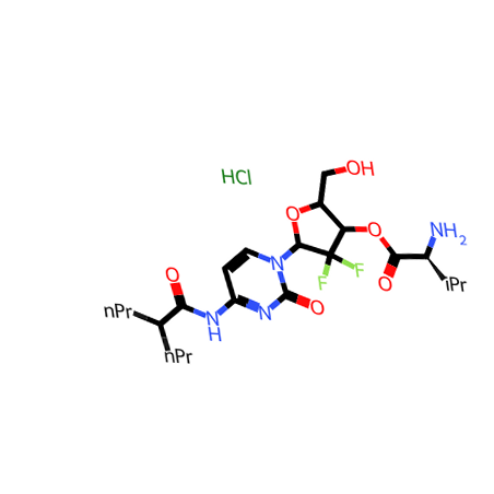 CCCC(CCC)C(=O)Nc1ccn(C2OC(CO)C(OC(=O)[C@@H](N)C(C)C)C2(F)F)c(=O)n1.Cl